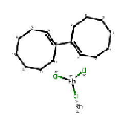 C1=C(C2=CCCCCCC2)CCCCCC1.[Cl][Rh]([Cl])[Cl].[Rh]